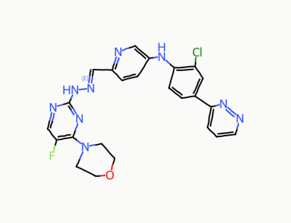 Fc1cnc(N/N=C/c2ccc(Nc3ccc(-c4cccnn4)cc3Cl)cn2)nc1N1CCOCC1